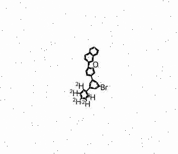 [2H]c1c([2H])c([2H])c(-c2cc(Br)cc(-c3ccc4c(c3)oc3c5ccccc5ccc43)c2)c([2H])c1[2H]